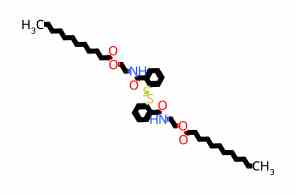 CCCCCCCCCCCC(=O)OCCNC(=O)c1ccccc1SSc1ccccc1C(=O)NCCOC(=O)CCCCCCCCCCC